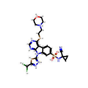 N#CC1(NS(=O)(=O)c2ccc3c4c(SCCN5CCOCC5)ncnc4n(-c4nnc(C(F)F)s4)c3c2)CC1